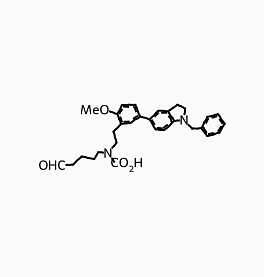 COc1ccc(-c2ccc3c(c2)CCN3Cc2ccccc2)cc1CCN(CCCCC=O)C(=O)O